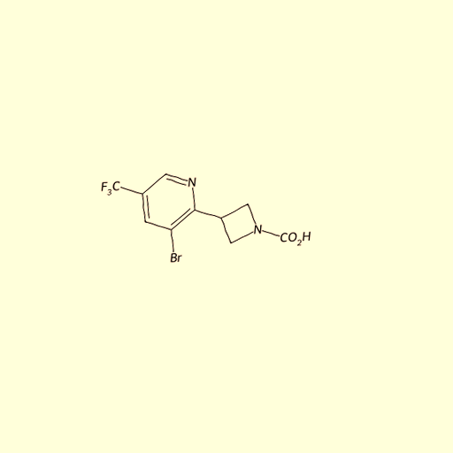 O=C(O)N1CC(c2ncc(C(F)(F)F)cc2Br)C1